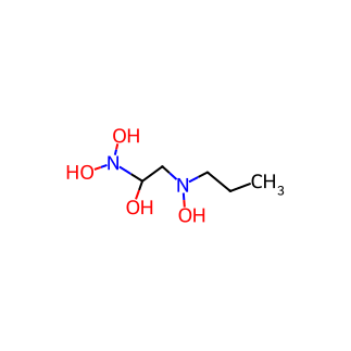 CCCN(O)CC(O)N(O)O